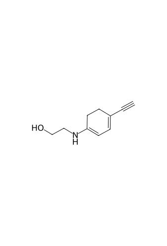 C#CC1=CC=C(NCCO)CC1